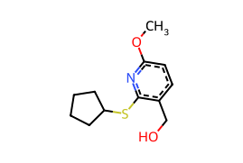 COc1ccc(CO)c(SC2CCCC2)n1